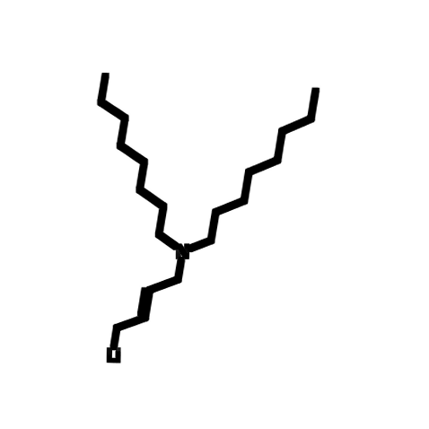 [Li][CH2]C=CCN(CCCCCCCC)CCCCCCCC